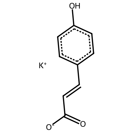 O=C([O-])C=Cc1ccc(O)cc1.[K+]